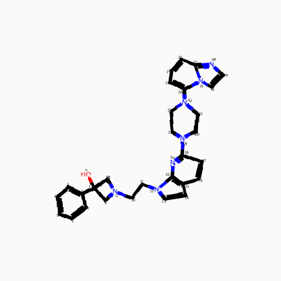 OC1(c2ccccc2)CN(CCn2ccc3ccc(N4CCN(c5cccc6nccn56)CC4)nc32)C1